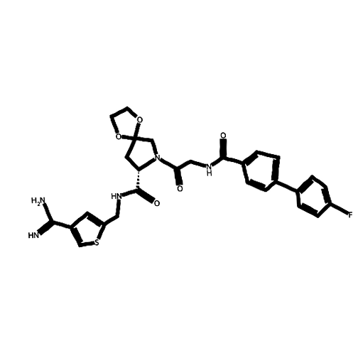 N=C(N)c1csc(CNC(=O)[C@@H]2CC3(CN2C(=O)CNC(=O)c2ccc(-c4ccc(F)cc4)cc2)OCCO3)c1